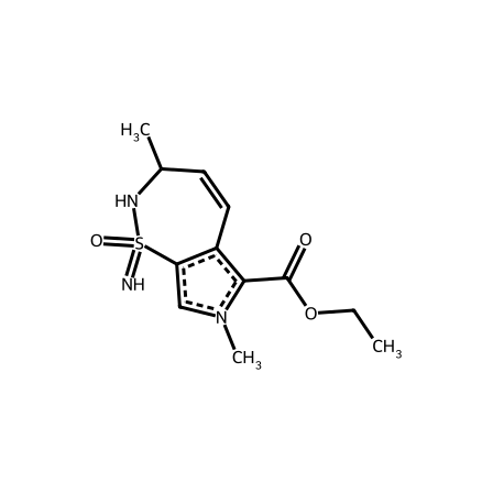 CCOC(=O)c1c2c(cn1C)S(=N)(=O)NC(C)C=C2